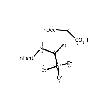 CCCCCCCCCCCC(=O)O.CCCCCNC(C)[N+]([O-])(CC)CC